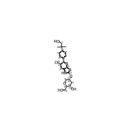 CC(C)(CO)c1ccc(-c2nc3nc(O[C@H]4COC(CO)[C@@H](O)C4)[nH]c3cc2Cl)cc1